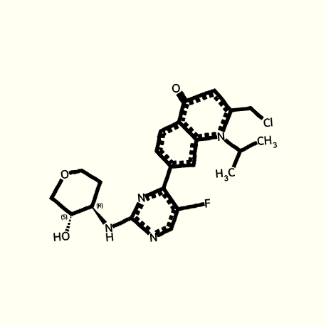 CC(C)n1c(CCl)cc(=O)c2ccc(-c3nc(N[C@@H]4CCOC[C@H]4O)ncc3F)cc21